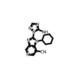 N#Cc1cncc2nc(-n3ncnc3N)n(C3CCCCC3)c12